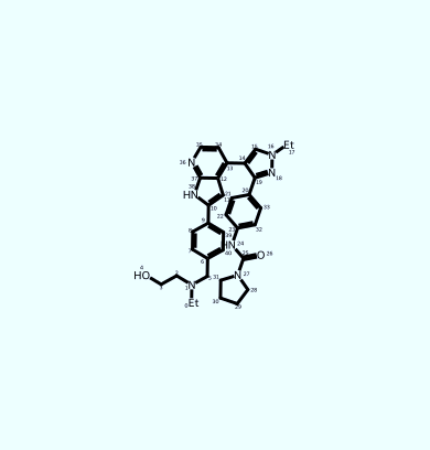 CCN(CCO)Cc1ccc(-c2cc3c(-c4cn(CC)nc4-c4ccc(NC(=O)N5CCCC5)cc4)ccnc3[nH]2)cc1